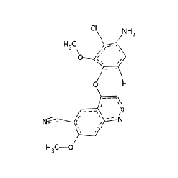 COc1cc2nccc(Oc3c(F)cc(N)c(Cl)c3OC)c2cc1C#N